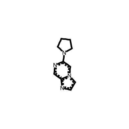 c1cn2cc(N3CCCC3)ncc2n1